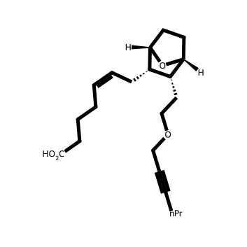 CCCC#CCOCC[C@@H]1[C@H](C/C=C\CCCC(=O)O)[C@@H]2CC[C@H]1O2